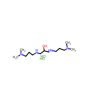 CN(C)CCCNCC(O)CNCCCN(C)C.Cl.Cl